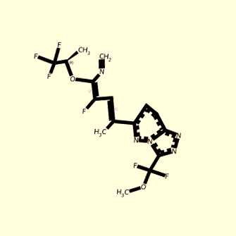 C=N/C(O[C@H](C)C(F)(F)F)=C(F)\C=C(/C)c1ccc2nnc(C(F)(F)OC)n2n1